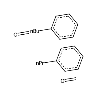 C=O.C=O.CCCCc1ccccc1.CCCc1ccccc1